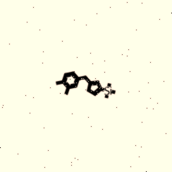 Cc1ccc(CC2=CC([Si](C)(C)C)=CC2)cc1C